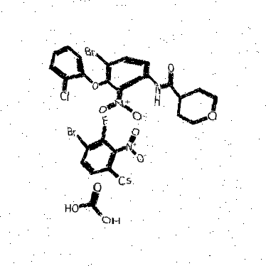 O=C(Nc1ccc(Br)c(Oc2ccccc2Cl)c1[N+](=O)[O-])C1CCOCC1.O=C(O)O.O=[N+]([O-])c1[c]([Cs])ccc(Br)c1F